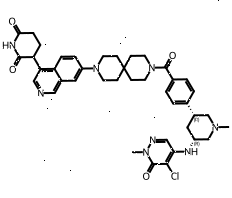 CN1C[C@H](Nc2cnn(C)c(=O)c2Cl)C[C@H](c2ccc(C(=O)N3CCC4(CC3)CCN(c3ccc5c(C6CCC(=O)NC6=O)cncc5c3)CC4)cc2)C1